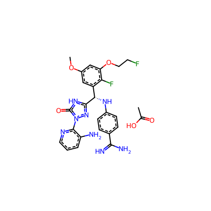 CC(=O)O.COc1cc(OCCF)c(F)c([C@H](Nc2ccc(C(=N)N)cc2)c2nn(-c3ncccc3N)c(=O)[nH]2)c1